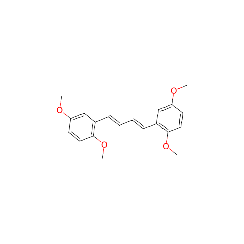 COc1ccc(OC)c(C=CC=Cc2cc(OC)ccc2OC)c1